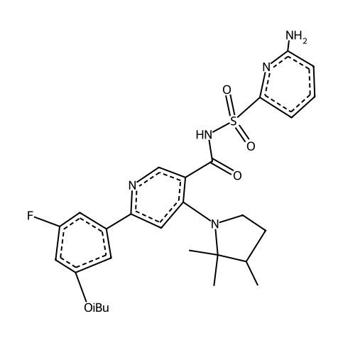 CC(C)COc1cc(F)cc(-c2cc(N3CCC(C)C3(C)C)c(C(=O)NS(=O)(=O)c3cccc(N)n3)cn2)c1